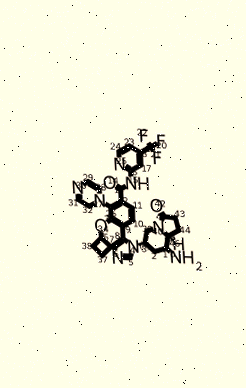 NC1C[C@@H](n2cncc2-c2ccc(C(=O)Nc3cc(C(F)(F)F)ccn3)c(N3C=CN=CC3)c2OC2CCC2)CN2C(=O)CC[C@@H]12